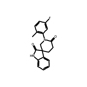 Cc1ccc(F)cc1N1CC2(CCC1=O)C(=O)Nc1ccccc12